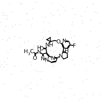 CC(=O)Nc1nn2ccc3nc2c1C(=O)NC1(CC1)COc1ncc(F)cc1[C@H]1CCCN31